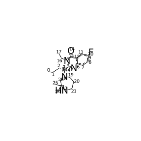 CCC[C@H](c1nc2ccc(F)cc2c(=O)n1CC)N1CCCNC(C)(C)C1